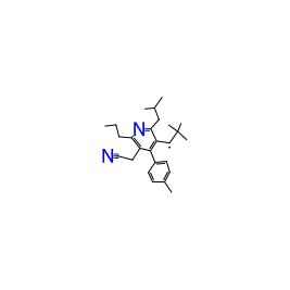 CCCc1nc(CC(C)C)c([CH]C(C)(C)C)c(-c2ccc(C)cc2)c1CC#N